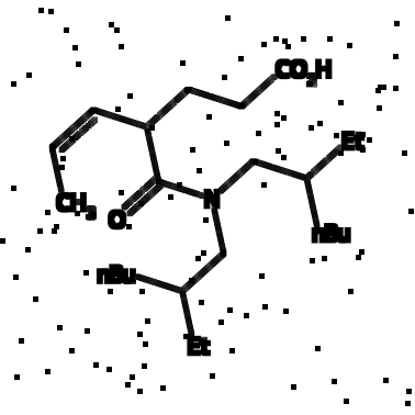 C/C=C\C(CCC(=O)O)C(=O)N(CC(CC)CCCC)CC(CC)CCCC